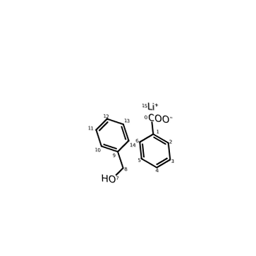 O=C([O-])c1ccccc1.OCc1ccccc1.[Li+]